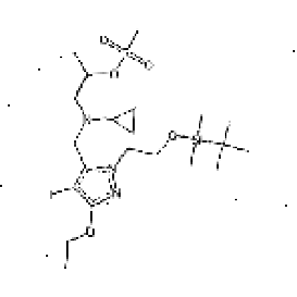 CCOc1nn(CCO[Si](C)(C)C(C)(C)C)c(CN(CC(C)OS(C)(=O)=O)C2CC2)c1I